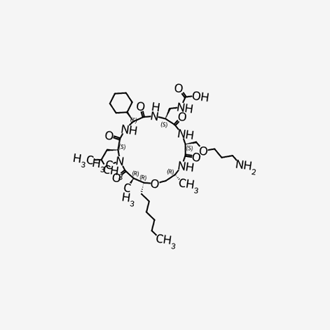 CCCCCC[C@H]1OC[C@@H](C)NC(=O)[C@H](COCCCN)NC(=O)[C@H](CNC(=O)O)NC(=O)[C@H](C2CCCCC2)NC(=O)[C@H](CC(C)C)N(C)C(=O)[C@@H]1C